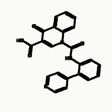 O=C(O)c1cn(C(=O)Nc2ccccc2-c2ccncc2)c2ccccc2c1=O